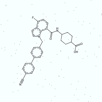 N#Cc1ccc(-c2ccc(Cn3ccc4c(F)ccc(C(=O)NC5CCC(C(=O)O)CC5)c43)cc2)cc1